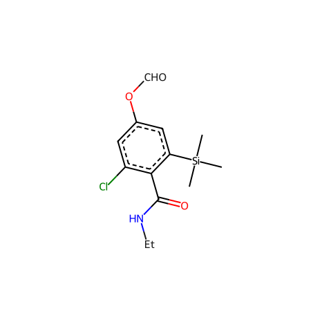 CCNC(=O)c1c(Cl)cc(OC=O)cc1[Si](C)(C)C